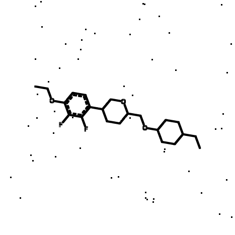 CCOc1ccc(C2CCC(COC3CCC(CC)CC3)OC2)c(F)c1F